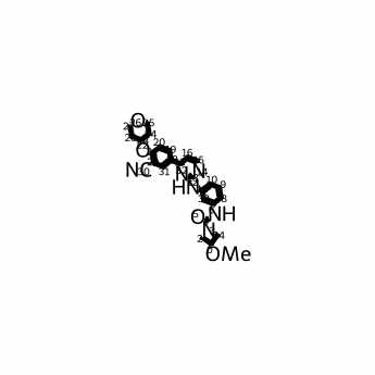 COC1CN(C(=O)Nc2cccc(Nc3nccc(-c4ccc(OC5CCOCC5)c(C#N)c4)n3)c2)C1